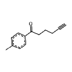 C#CCCCC(=O)c1ccc(C)cc1